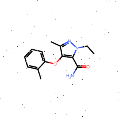 CCn1nc(C)c(Oc2ccccc2C)c1C(N)=O